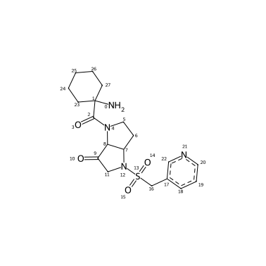 NC1(C(=O)N2CCC3C2C(=O)CN3S(=O)(=O)Cc2cccnc2)CCCCC1